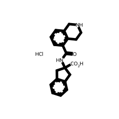 Cl.O=C(NC1(C(=O)O)Cc2ccccc2C1)c1cccc2c1CCNC2